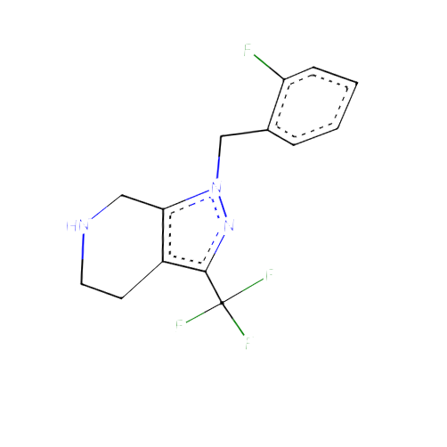 Fc1ccccc1Cn1nc(C(F)(F)F)c2c1CNCC2